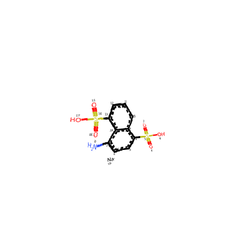 Nc1ccc(S(=O)(=O)O)c2cccc(S(=O)(=O)O)c12.[Na]